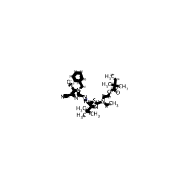 [C-]#[N+]c1c(C#N)nc(/N=N/c2sc(N(CC)CCOC(=O)C(C)(C)CC)nc2C(C)(C)C)n1Cc1ccccc1